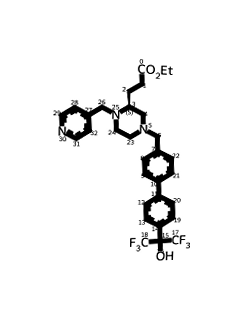 CCOC(=O)CC[C@H]1CN(Cc2ccc(-c3ccc(C(O)(C(F)(F)F)C(F)(F)F)cc3)cc2)CCN1Cc1ccncc1